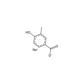 Cc1cc(C(=O)[O-])ccc1O.[Na+]